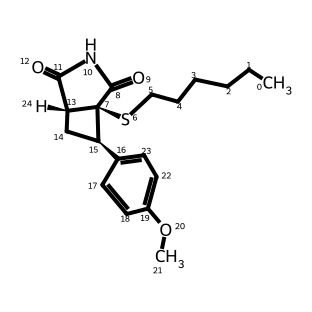 CCCCCCS[C@]12C(=O)NC(=O)[C@H]1C[C@@H]2c1ccc(OC)cc1